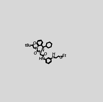 CCOCCNc1cccc(NC(=O)CN2N=C(C3CCCCC3)c3ccccc3N(CC(=O)C(C)(C)C)C2=O)c1